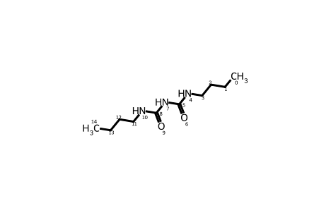 CCCCNC(=O)NC(=O)NCCCC